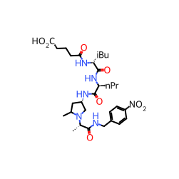 CCC[C@H](NC(=O)[C@@H](NC(=O)CCCC(=O)O)[C@@H](C)CC)C(=O)N[C@H]1CC(C)N([C@@H](C)C(=O)NCc2ccc([N+](=O)[O-])cc2)C1